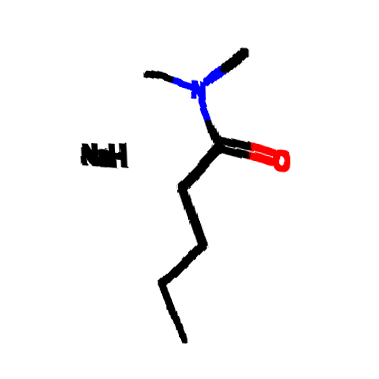 CCCCC(=O)N(C)C.[NaH]